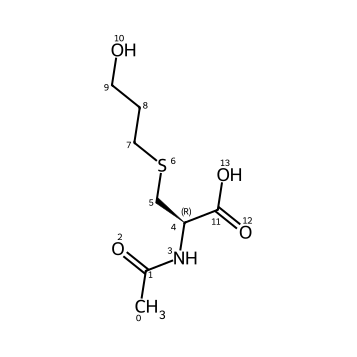 CC(=O)N[C@@H](CSCCCO)C(=O)O